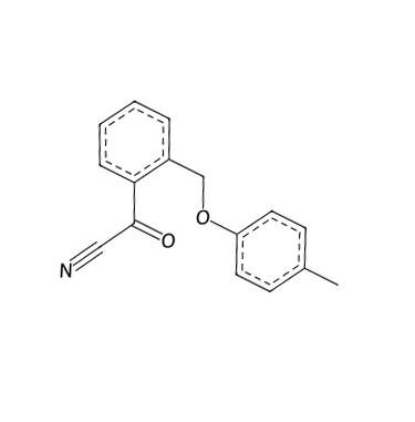 Cc1ccc(OCc2ccccc2C(=O)C#N)cc1